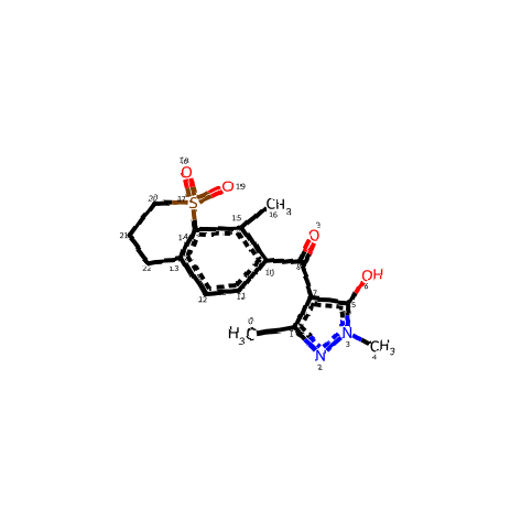 Cc1nn(C)c(O)c1C(=O)c1ccc2c(c1C)S(=O)(=O)CCC2